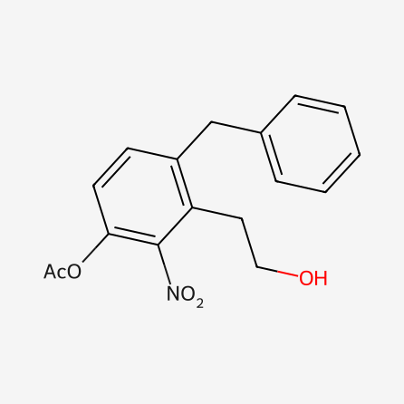 CC(=O)Oc1ccc(Cc2ccccc2)c(CCO)c1[N+](=O)[O-]